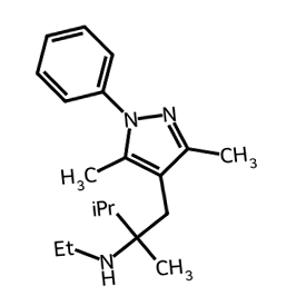 CCNC(C)(Cc1c(C)nn(-c2ccccc2)c1C)C(C)C